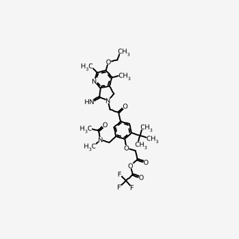 CCOc1c(C)nc2c(c1C)CN(CC(=O)c1cc(CN(C)C(C)=O)c(OCC(=O)OC(=O)C(F)(F)F)c(C(C)(C)C)c1)C2=N